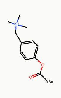 CC(C)(C)C(=O)Oc1ccc(C[N+](C)(C)C)cc1